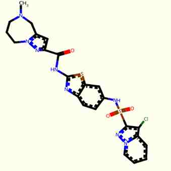 CN1CCCn2nc(C(=O)Nc3nc4ccc(NS(=O)(=O)c5nn6ccccc6c5Cl)cc4s3)cc2C1